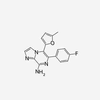 Cc1ccc(-c2c(-c3ccc(F)cc3)nc(N)c3nccn23)o1